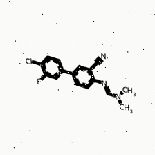 CN(C)C=Nc1ccc(-c2ccc(Cl)c(F)c2)cc1C#N